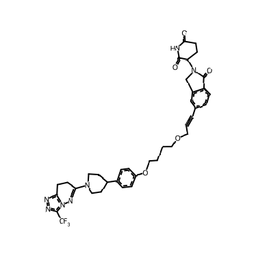 O=C1CCC(N2Cc3cc(C#CCOCCCCOc4ccc(C5CCN(C6=Nn7c(nnc7C(F)(F)F)CC6)CC5)cc4)ccc3C2=O)C(=O)N1